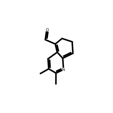 Cc1cc2c(nc1C)=CCCC=2C=O